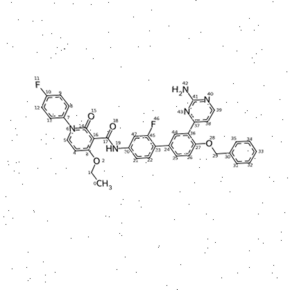 CCOc1ccn(-c2ccc(F)cc2)c(=O)c1C(=O)Nc1ccc(-c2ccc(OCc3ccccc3)c(-c3ccnc(N)n3)c2)c(F)c1